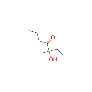 CCCC(=O)C(C)(O)CC